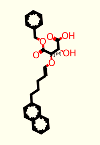 O=C(O)[C@H](O)[C@@H](OC=CCCCc1ccc2ccccc2c1)C(=O)OCc1ccccc1